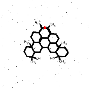 CC(C)=C1CCC2C3C1C1=C4C(CC5C(C)(O)CCCC5(C)C4CCC1C(C)C)C3CC1C(C)(O)CCCC21C